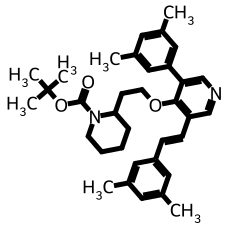 Cc1cc(C)cc(/C=C/c2cncc(-c3cc(C)cc(C)c3)c2OCCC2CCCCN2C(=O)OC(C)(C)C)c1